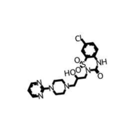 O=C1Nc2ccc(Cl)cc2S(=O)(=O)N1CC(O)CN1CCN(c2ncccn2)CC1